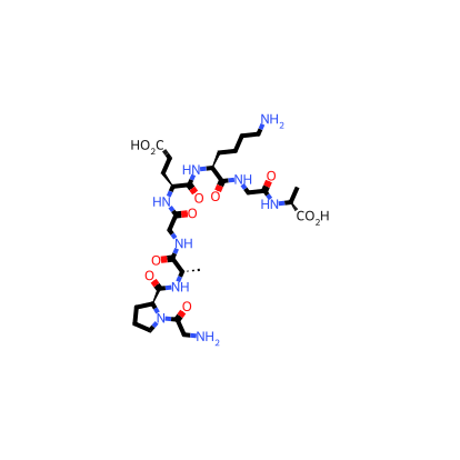 C[C@H](NC(=O)CNC(=O)[C@H](CCCCN)NC(=O)[C@H](CCC(=O)O)NC(=O)CNC(=O)[C@H](C)NC(=O)[C@@H]1CCCN1C(=O)CN)C(=O)O